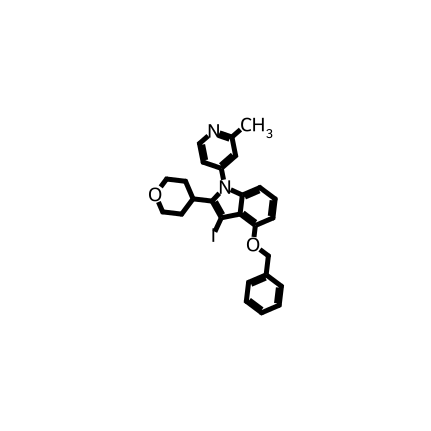 Cc1cc(-n2c(C3CCOCC3)c(I)c3c(OCc4ccccc4)cccc32)ccn1